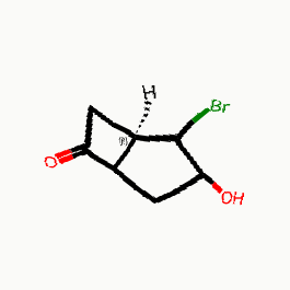 O=C1C[C@@H]2C1CC(O)C2Br